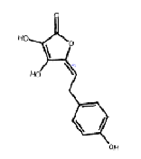 O=C1O/C(=C/Cc2ccc(O)cc2)C(O)=C1O